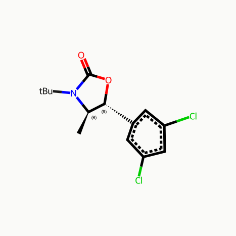 C[C@@H]1[C@@H](c2cc(Cl)cc(Cl)c2)OC(=O)N1C(C)(C)C